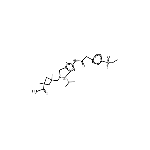 CCS(=O)(=O)c1ccc(CC(=O)Nc2nc3c(s2)CN(CC2(C)CC(C)(C(N)=O)C2)[C@H]3C(C)C)cc1